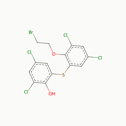 Oc1c(Cl)cc(Cl)cc1Sc1cc(Cl)cc(Cl)c1OCCBr